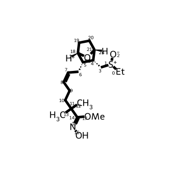 CC[S+]([O-])C[C@@H]1[C@H](C/C=C\CCC(C)(C)C(=NO)OC)[C@@H]2CC[C@H]1O2